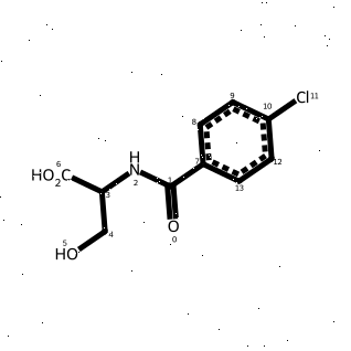 O=C(NC(CO)C(=O)O)c1ccc(Cl)cc1